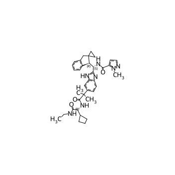 CCNC(=O)[C@H](NC(=O)C(C)(C)c1ccc2nc([C@@H](NC(=O)c3ccnn3C)[C@H]3c4ccccc4CC34CC4)[nH]c2c1)C1CCC1